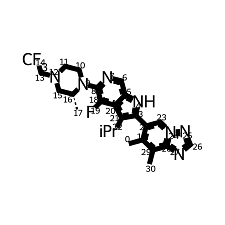 Cc1c(-c2[nH]c3cnc(N4CCN(CC(F)(F)F)C[C@H]4C)c(F)c3c2C(C)C)cn2ncnc2c1C